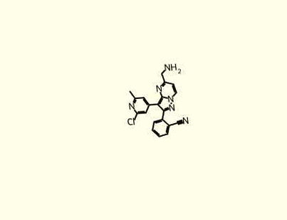 Cc1cc(-c2c(-c3ccccc3C#N)nn3ccc(CN)nc23)cc(Cl)n1